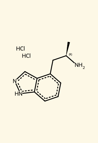 C[C@@H](N)Cc1cccc2[nH]ncc12.Cl.Cl